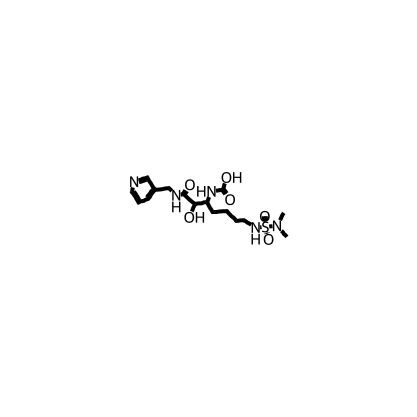 CN(C)S(=O)(=O)NCCCCC(NC(=O)O)C(O)C(=O)NCc1cccnc1